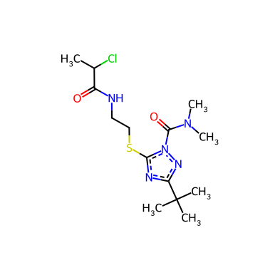 CC(Cl)C(=O)NCCSc1nc(C(C)(C)C)nn1C(=O)N(C)C